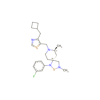 C[C@H]1C[C@]2(CCN1Cc1scnc1CC1CCC1)CN(C)SN2c1cccc(F)c1